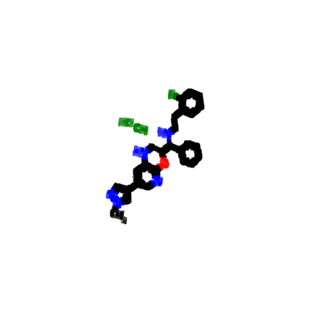 Cl.Cl.Cn1cc(-c2cnc3c(c2)NC[C@@H]([C@H](NCCc2ccccc2F)c2ccccc2)O3)cn1